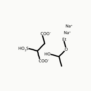 CCOC(C)O.O=C([O-])CC(C(=O)[O-])S(=O)(=O)O.[Na+].[Na+]